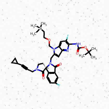 CC(C)(C)OC(=O)Nc1nc2cc(CN3C(=O)c4cc(F)ccc4[C@]34CCN(CC#CC3CC3)C4=O)n(COCC[Si](C)(C)C)c2cc1F